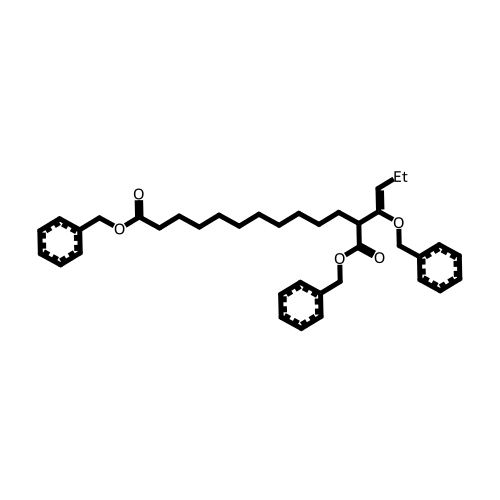 CC/C=C(\OCc1ccccc1)C(CCCCCCCCCCC(=O)OCc1ccccc1)C(=O)OCc1ccccc1